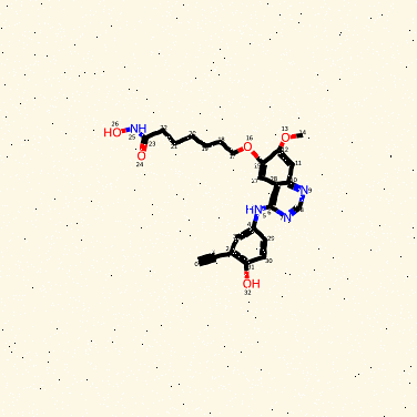 C#Cc1cc(Nc2ncnc3cc(OC)c(OCCCCCCC(=O)NO)cc23)ccc1O